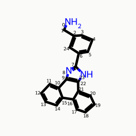 NCc1cccc(-c2nc3c4ccccc4c4ccccc4c3[nH]2)c1